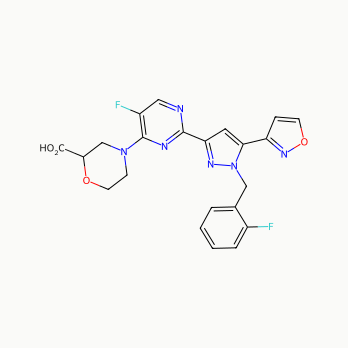 O=C(O)C1CN(c2nc(-c3cc(-c4ccon4)n(Cc4ccccc4F)n3)ncc2F)CCO1